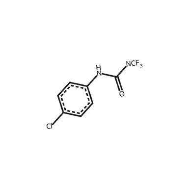 O=C(Nc1ccc(Cl)cc1)NC(F)(F)F